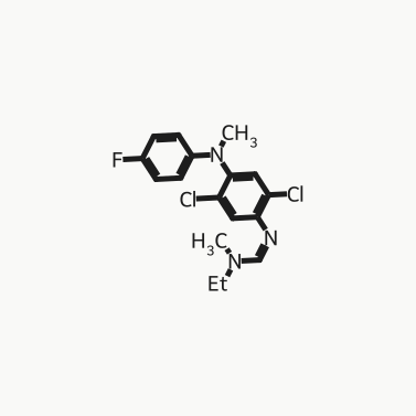 CCN(C)/C=N\c1cc(Cl)c(N(C)c2ccc(F)cc2)cc1Cl